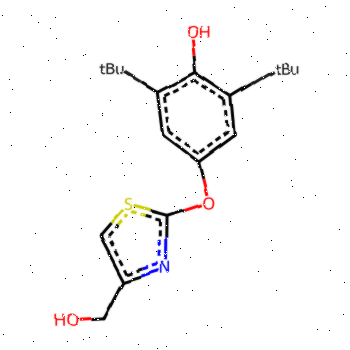 CC(C)(C)c1cc(Oc2nc(CO)cs2)cc(C(C)(C)C)c1O